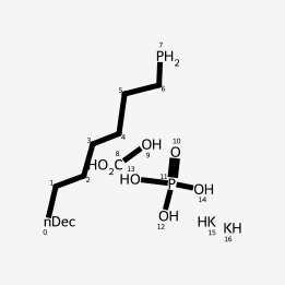 CCCCCCCCCCCCCCCCP.O=C(O)O.O=P(O)(O)O.[KH].[KH]